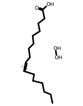 CCCCCC/C=C\CCCCCCCC(=O)O.OO